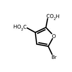 O=C(O)c1cc(Br)oc1C(=O)O